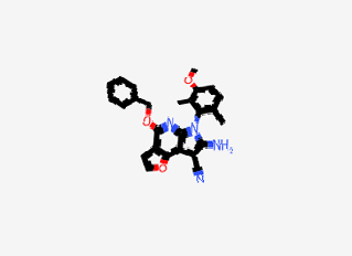 COc1ccc(C)c(-n2c(N)c(C#N)c3c4occc4c(OCc4ccccc4)nc32)c1C